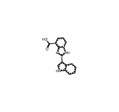 O=C(O)c1cccc2[nH]c(-c3c[nH]c4ccccc34)nc12